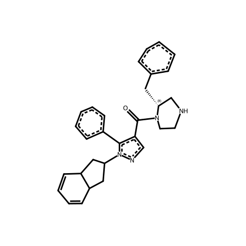 O=C(c1cnn(C2CC3C=CC=CC3C2)c1-c1ccccc1)N1CCNC[C@H]1Cc1ccccc1